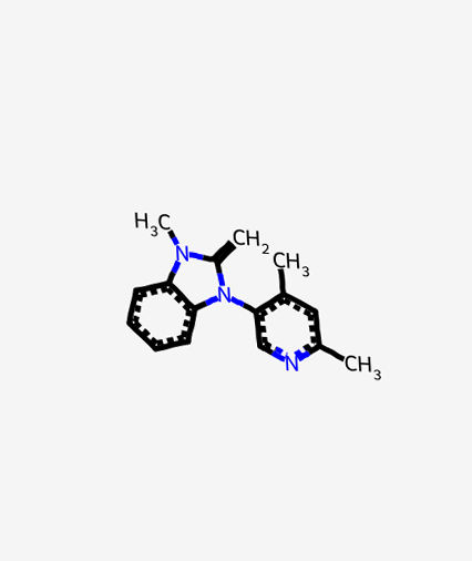 C=C1N(C)c2ccccc2N1c1cnc(C)cc1C